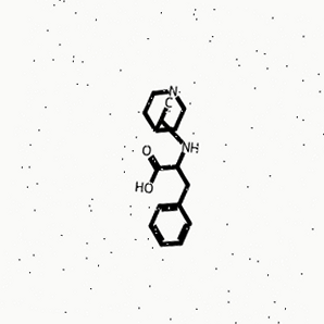 O=C(O)C(Cc1ccccc1)NC1CN2CCC1CC2